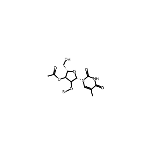 CC(=O)OC1C(OBr)[C@@H](n2cc(C)c(=O)[nH]c2=O)O[C@H]1CO